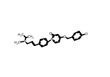 CC(C)N(C)CC=Cc1ccc(-n2ccc(OCc3ccc(Cl)cc3)cc2=O)cc1